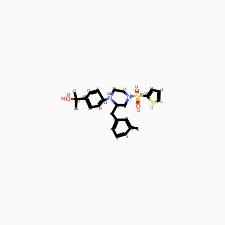 Cc1cccc(CC2CN(S(=O)(=O)c3cccs3)CCN2c2ccc(C(C)(C)O)cc2)c1